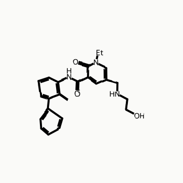 CCn1cc(CNCCO)cc(C(=O)Nc2cccc(-c3ccccc3)c2C)c1=O